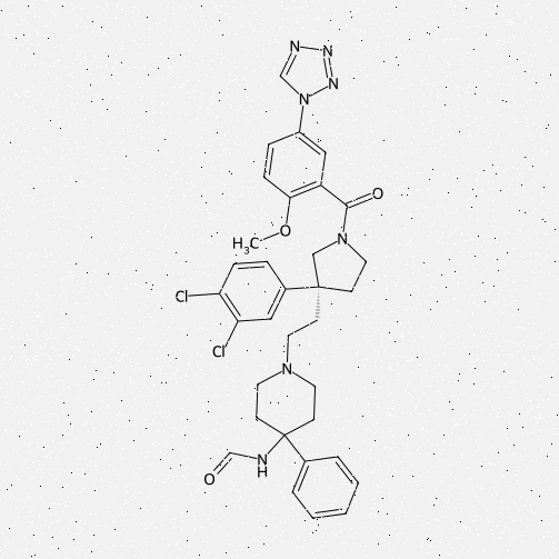 COc1ccc(-n2cnnn2)cc1C(=O)N1CC[C@@](CCN2CCC(NC=O)(c3ccccc3)CC2)(c2ccc(Cl)c(Cl)c2)C1